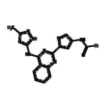 CCC(=O)Nc1csc(-c2nc(Nc3cc(C)n[nH]3)c3ccccc3n2)c1